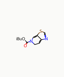 CC(C)COC(=O)N1C=c2scnc2=CC1